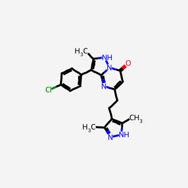 Cc1n[nH]c(C)c1CCc1cc(=O)n2[nH]c(C)c(-c3ccc(Cl)cc3)c2n1